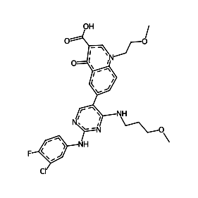 COCCCNc1nc(Nc2ccc(F)c(Cl)c2)ncc1-c1ccc2c(c1)c(=O)c(C(=O)O)cn2CCOC